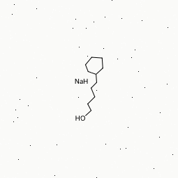 OCCCCCC1CCCCC1.[NaH]